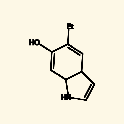 CCC1=CC2C=CNC2C=C1O